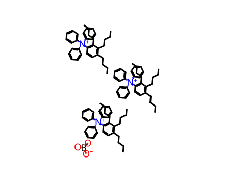 CCCCc1ccc([N+](c2ccccc2)(c2ccccc2)c2ccccc2)c(CCCC)c1CCCC.CCCCc1ccc([N+](c2ccccc2)(c2ccccc2)c2ccccc2)c(CCCC)c1CCCC.CCCCc1ccc([N+](c2ccccc2)(c2ccccc2)c2ccccc2)c(CCCC)c1CCCC.[O-]B([O-])[O-]